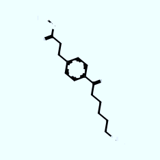 CNC(=O)CCc1ccc(C(=O)CCCCCN)cc1